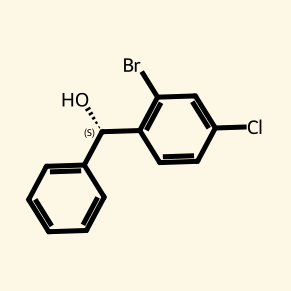 O[C@@H](c1ccccc1)c1ccc(Cl)cc1Br